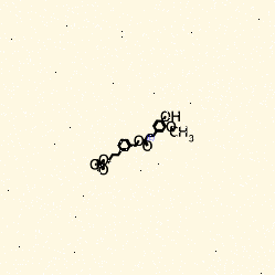 COc1cc(/C=C/C(=O)OCc2cccc(CCCO[N+](=O)[O-])c2)ccc1O